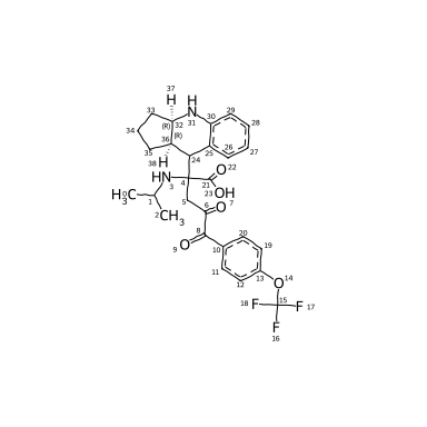 CC(C)NC(CC(=O)C(=O)c1ccc(OC(F)(F)F)cc1)(C(=O)O)C1c2ccccc2N[C@@H]2CCC[C@H]12